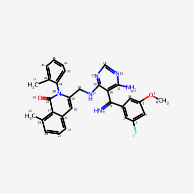 COc1cc(F)cc(C(=N)c2c(N)ncnc2NCc2cc3cccc(C)c3c(=O)n2-c2ccccc2C)c1